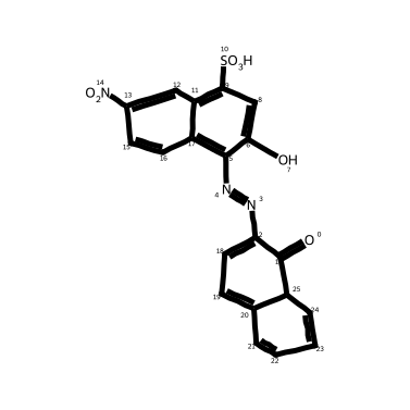 O=C1C(N=Nc2c(O)cc(S(=O)(=O)O)c3cc([N+](=O)[O-])ccc23)=CC=C2C=CC=CC12